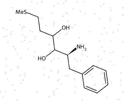 CSCCC(O)C(O)[C@@H](N)Cc1ccccc1